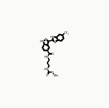 CC(C)(C)OC(=O)NCCCNC(=O)c1ccc2[nH]nc(-c3nc4ccc(C(F)(F)F)cc4[nH]3)c2c1